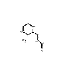 Cl.O=COCC1CNCCN1